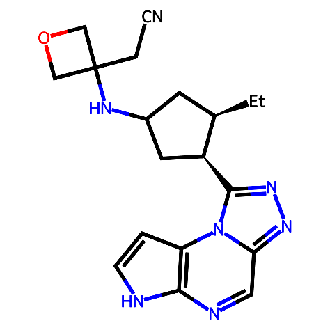 CC[C@@H]1CC(NC2(CC#N)COC2)C[C@@H]1c1nnc2cnc3[nH]ccc3n12